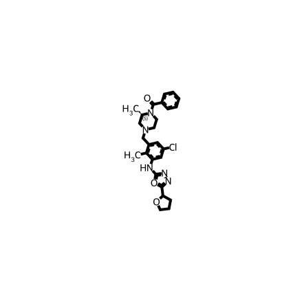 Cc1c(CN2CCN(C(=O)c3ccccc3)[C@@H](C)C2)cc(Cl)cc1Nc1nnc(C2CCCO2)o1